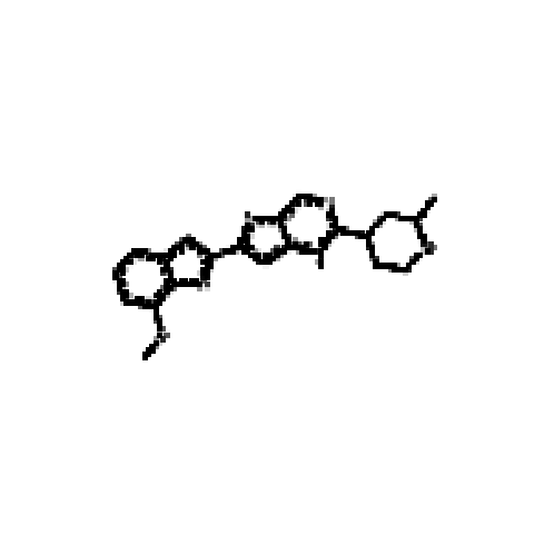 COc1cccc2cc(-c3cc4[nH]c(C5CCNC(C)C5)ncc-4n3)oc12